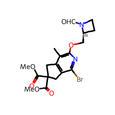 COC(=O)C1(C(=O)OC)Cc2c(Br)nc(OC[C@@H]3CCN3C=O)c(C)c2C1